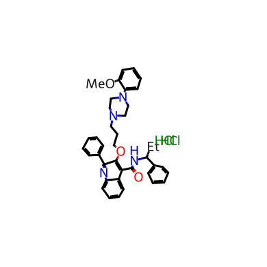 CCC(NC(=O)c1c(OCCCN2CCN(c3ccccc3OC)CC2)c(-c2ccccc2)nc2ccccc12)c1ccccc1.Cl.Cl